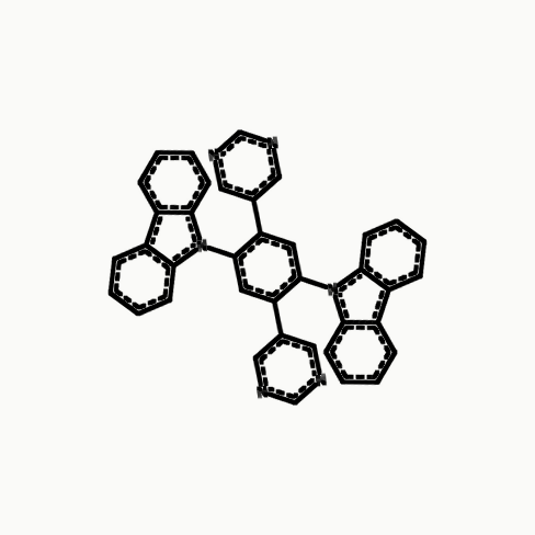 c1ccc2c(c1)c1ccccc1n2-c1cc(-c2cncnc2)c(-n2c3ccccc3c3ccccc32)cc1-c1cncnc1